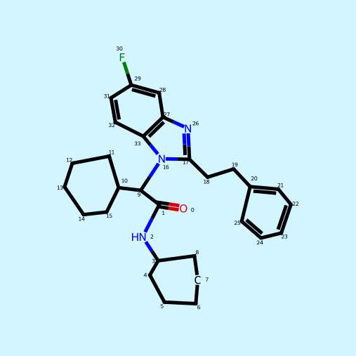 O=C(NC1CCCCC1)C(C1CCCCC1)n1c(CCc2ccccc2)nc2cc(F)ccc21